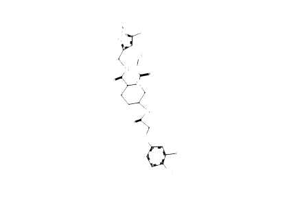 Cn1nc(CNC(=O)C2CCC(NC(=O)COc3ccc(Cl)c(F)c3)CN2C(=O)OC(C)(C)C)cc1C(F)(F)F